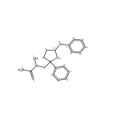 NC(=O)N(O)CC1(c2ccccc2)CCC(Oc2ccccc2)O1